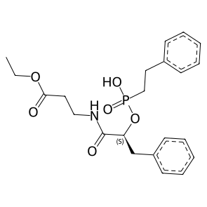 CCOC(=O)CCNC(=O)[C@H](Cc1ccccc1)OP(=O)(O)CCc1ccccc1